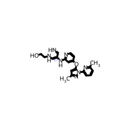 Cc1cccc(-n2nc(C)cc2Oc2ccnc(N/C(C=N)=C/NCCO)c2)n1